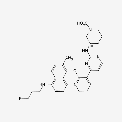 Cc1ccc2c(NCCCF)cccc2c1Oc1ncccc1-c1ccnc(N[C@H]2CCCN(C(=O)O)C2)n1